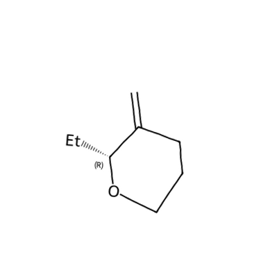 C=C1CCCO[C@@H]1CC